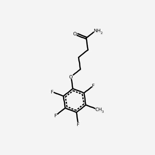 Cc1c(F)c(F)c(F)c(OCCCC(N)=O)c1F